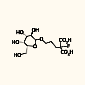 O=C(O)C(F)(CCCOC1O[C@H](CO)[C@H](O)[C@H](O)[C@H]1O)C(=O)O